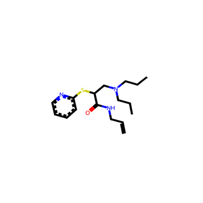 C=CCNC(=O)C(CN(CCC)CCC)Sc1ccccn1